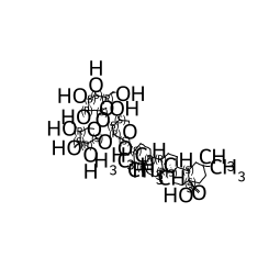 CC1(C)CC[C@]2(C(=O)O)CC[C@]3(C)C(=CC[C@@H]4[C@@]5(C)CC[C@H](O[C@@H]6OC[C@H](O)[C@H](O[C@@H]7O[C@H](CO)[C@@H](O)[C@H](O)[C@H]7O)[C@H]6O[C@@H]6OC[C@@H](O)[C@H](O)[C@H]6O)C(C)(C)[C@@H]5CC[C@]43C)[C@@H]2C1